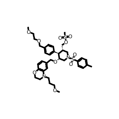 COCCCN1CCOc2ccc(CO[C@H]3CN(S(=O)(=O)c4ccc(C)cc4)C[C@@H](COS(C)(=O)=O)[C@@H]3c3ccc(COCCOC)cc3)cc21